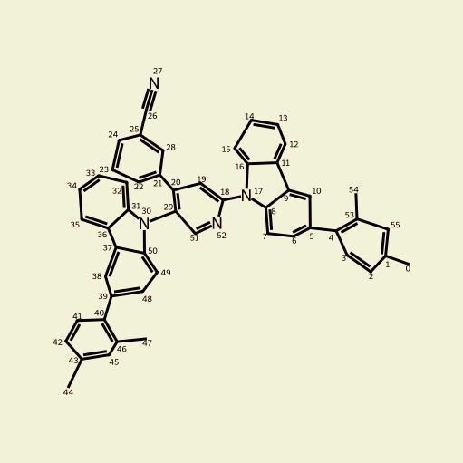 Cc1ccc(-c2ccc3c(c2)c2ccccc2n3-c2cc(-c3cccc(C#N)c3)c(-n3c4ccccc4c4cc(-c5ccc(C)cc5C)ccc43)cn2)c(C)c1